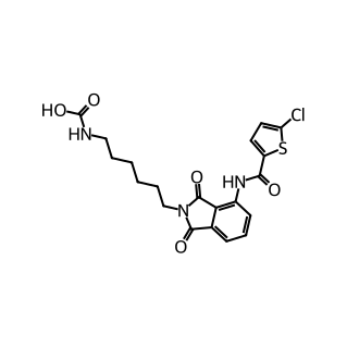 O=C(O)NCCCCCCN1C(=O)c2cccc(NC(=O)c3ccc(Cl)s3)c2C1=O